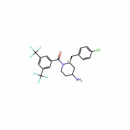 NC1CCN(C(=O)c2cc(C(F)(F)F)cc(C(F)(F)F)c2)[C@@H](Cc2ccc(Cl)cc2)C1